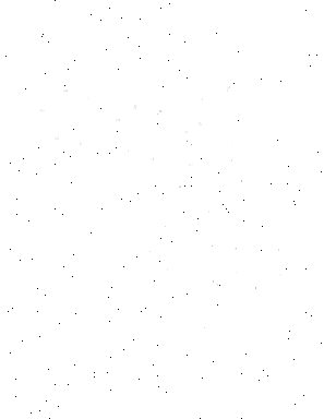 CC1CCCCN(C2CCCCC2)C2CC(C3CCC4C5CCCCC5N(C5CCC(C6CCCCC6)CC5)C4C3)CCC12